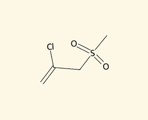 C=C(Cl)CS(C)(=O)=O